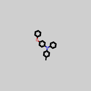 Cc1ccc(N(c2ccccc2)c2ccc(Oc3ccccc3)cc2)cc1